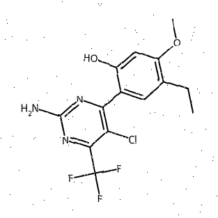 CCc1cc(-c2nc(N)nc(C(F)(F)F)c2Cl)c(O)cc1OC